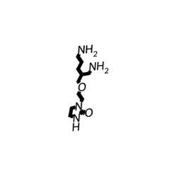 NCCCC(CN)COCCN1CCNC1=O